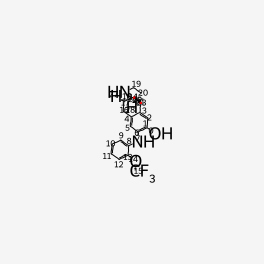 Oc1cc2c(cc1Nc1ccccc1OC(F)(F)F)C[C@@H]1NCC[C@]23CCCC[C@H]13